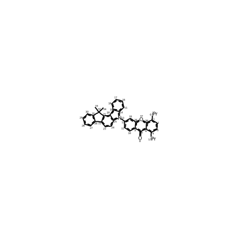 CC(C)c1ccc(C(C)C)c2c(=O)c3ccc(-n4c5ccccc5c5c6c(ccc54)-c4ccccc4C6(C)C)cc3oc12